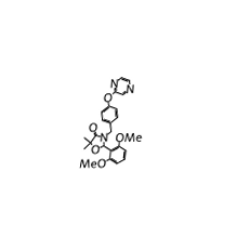 COc1cccc(OC)c1C1OC(C)(C)C(=O)N1Cc1ccc(Oc2cnccn2)cc1